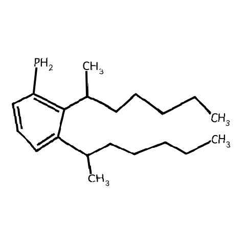 CCCCCC(C)c1cccc(P)c1C(C)CCCCC